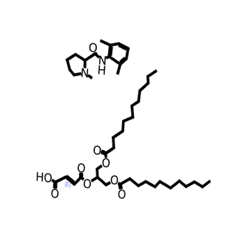 CCCCCCCCCCCC(=O)OCC(COC(=O)CCCCCCCCCCC)OC(=O)/C=C/C(=O)O.Cc1cccc(C)c1NC(=O)C1CCCCN1C